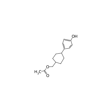 CC(=O)OCC1CCC(c2ccc(O)cc2)CC1